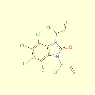 C=CC(Cl)n1c(=O)n(C(Cl)C=C)c2c(Cl)c(Cl)c(Cl)c(Cl)c21